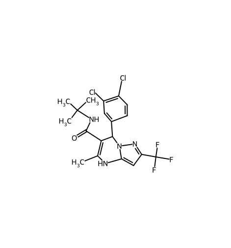 CC1=C(C(=O)NC(C)(C)C)C(c2ccc(Cl)c(Cl)c2)n2nc(C(F)(F)F)cc2N1